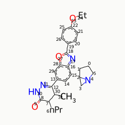 C1CC2CN2C1.CCCC1C(=O)NN=C(c2ccc3nc(-c4ccc(OCC)cc4)oc3c2)C1C